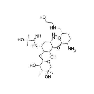 C[C@@H]1C(O)[C@@H](OC2C(O)C(O[C@H]3O[C@H](CNCCO)CCC3N)[C@@H](N)C[C@H]2NC(=N)C(C)(C)O)OCC1(C)O